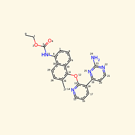 CCOC(=O)Nc1cccc2c(Oc3ncccc3-c3ccnc(N)n3)c(C)ccc12